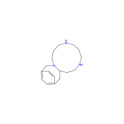 c1cc2ccc1CC1CCNCCCNCCCN1C2